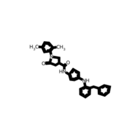 Cc1ccc(C)c(N2CC(C(=O)Nc3ccc(Nc4ccccc4Cc4ccccc4)cc3)CC2=O)c1